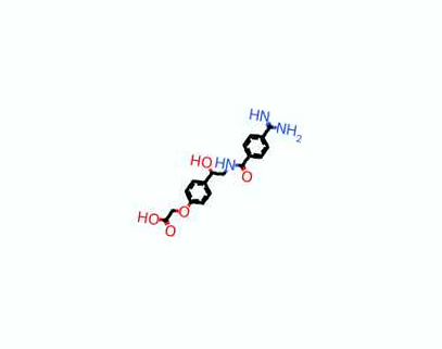 N=C(N)c1ccc(C(=O)NCC(O)c2ccc(OCC(=O)O)cc2)cc1